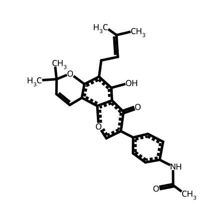 CC(=O)Nc1ccc(-c2coc3c4c(c(CC=C(C)C)c(O)c3c2=O)OC(C)(C)C=C4)cc1